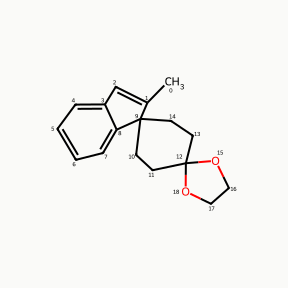 CC1=Cc2ccccc2C12CCC1(CC2)OCCO1